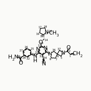 C=CC(=O)N1CC2(CCN(c3nc(OC[C@@H]4CCCN4C)nc(Nc4cccc(C(N)=O)c4)c3C#N)C2)C1